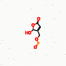 O=POCC1=CC(=O)OC1O